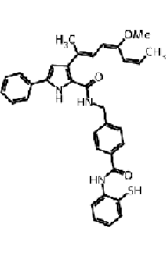 C\C=C/C(=C\C=C(/C)c1cc(-c2ccccc2)[nH]c1C(=O)NCc1ccc(C(=O)Nc2ccccc2S)cc1)OC